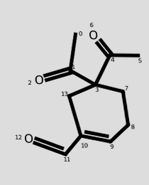 CC(=O)C1(C(C)=O)CCC=C(C=O)C1